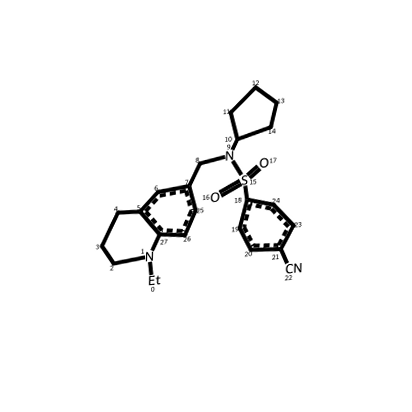 CCN1CCCc2cc(CN(C3CCCC3)S(=O)(=O)c3ccc(C#N)cc3)ccc21